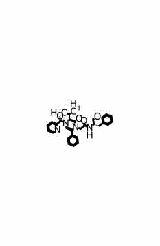 CC(C)[C@H]1C(=O)N(CC(=O)N[C@H](C=O)Cc2ccccc2)C(c2ccccc2)=CN1C(=O)c1ccccn1